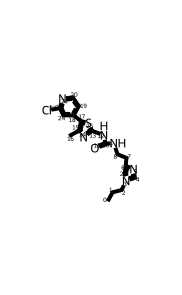 CCCn1cnc(CCNC(=O)Nc2nc(C)c(-c3ccnc(Cl)c3)s2)c1